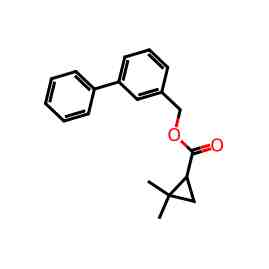 CC1(C)CC1C(=O)OCc1cccc(-c2ccccc2)c1